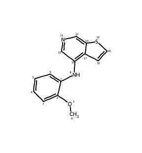 COc1ccccc1Nc1cncc2sccc12